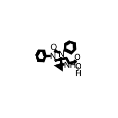 NC1(C2(CCC(=O)O)CN(c3ccccc3)C(=O)N2c2ccccc2)CC1